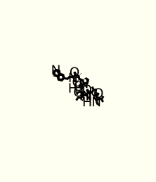 CC[C@H](C)C([C@@H](CC(=O)N1CCC[C@H]1[C@H](OC)[C@@H](C)C(=O)NCCc1ccc2ccncc2c1)OC)N(C)C(=O)[C@@H](NC(=O)C(NC)C(C)C)C(C)C